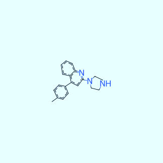 Cc1ccc(-c2cc(N3CCNCC3)nc3ccccc23)cc1